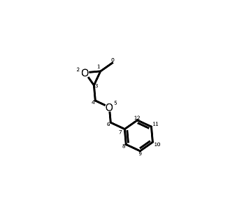 CC1OC1COCc1ccccc1